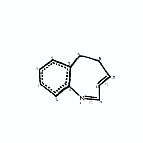 C1=N\c2ccccc2CC/C=C/1